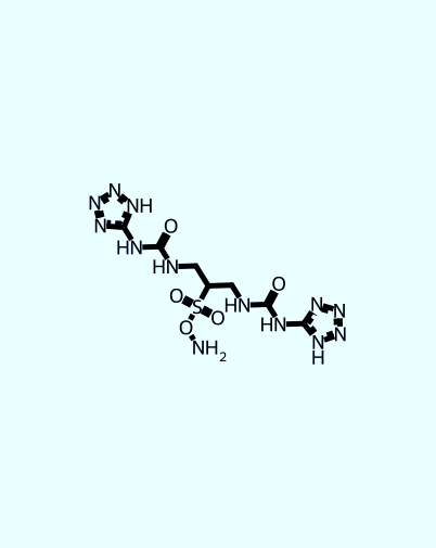 NOS(=O)(=O)C(CNC(=O)Nc1nnn[nH]1)CNC(=O)Nc1nnn[nH]1